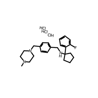 CN1CCN(Cc2ccc(CNC3(c4ccccc4F)CCCC3)cc2)CC1.Cl.Cl.Cl